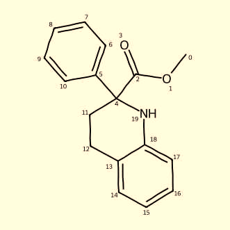 COC(=O)C1(c2ccccc2)CCc2ccccc2N1